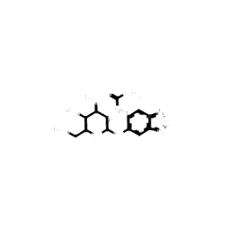 CC(=O)N[C@@H]1C(Oc2ccc3nonc3c2)OC(CO)C(O)C1O